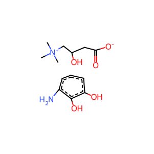 C[N+](C)(C)CC(O)CC(=O)[O-].Nc1cccc(O)c1O